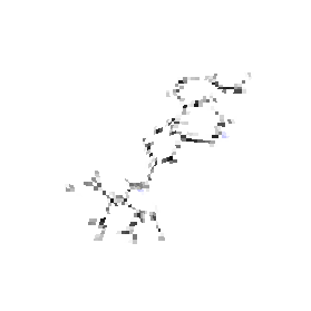 COc1cccc(OC)c1/C=C\C(=O)C[S+]([O-])/C=C/c1c(OC)cccc1OC